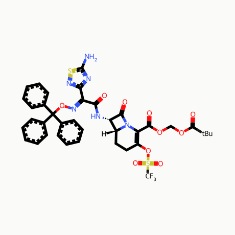 CC(C)(C)C(=O)OCOC(=O)C1=C(OS(=O)(=O)C(F)(F)F)CC[C@@H]2[C@H](NC(=O)C(=NOC(c3ccccc3)(c3ccccc3)c3ccccc3)c3nsc(N)n3)C(=O)N12